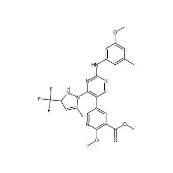 COC(=O)c1cc(-c2cnc(Nc3cc(C)cc(OC)c3)nc2N2NC(C(F)(F)F)C=C2C)cnc1OC